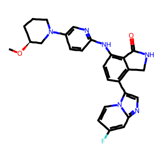 CO[C@H]1CCCN(c2ccc(Nc3ccc(-c4cnc5cc(F)ccn45)c4c3C(=O)NC4)nc2)C1